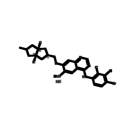 COc1cc2c(Nc3ccc(Br)c(Cl)c3Cl)ncnc2cc1OC[C@H]1C[C@@H]2CN(C)C[C@@H]2C1.Cl